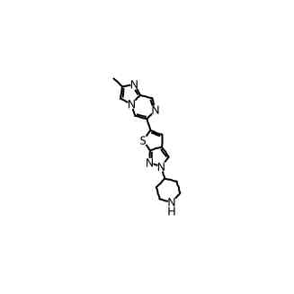 Cc1cn2cc(-c3cc4cn(C5CCNCC5)nc4s3)ncc2n1